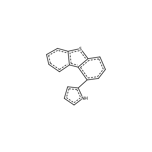 c1c[nH]c(-c2cccc3sc4ccccc4c23)c1